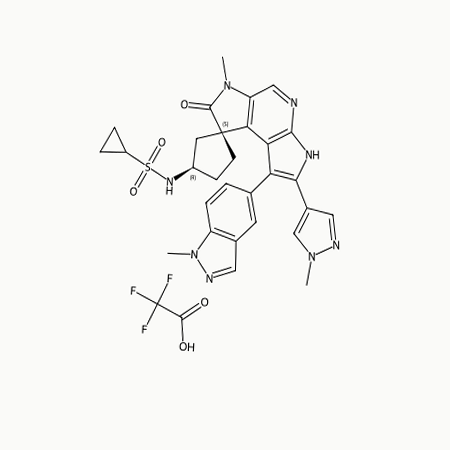 CN1C(=O)[C@]2(CC[C@@H](NS(=O)(=O)C3CC3)C2)c2c1cnc1[nH]c(-c3cnn(C)c3)c(-c3ccc4c(cnn4C)c3)c21.O=C(O)C(F)(F)F